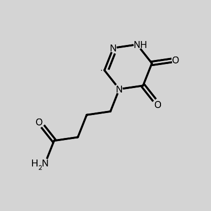 NC(=O)CCCn1[c]n[nH]c(=O)c1=O